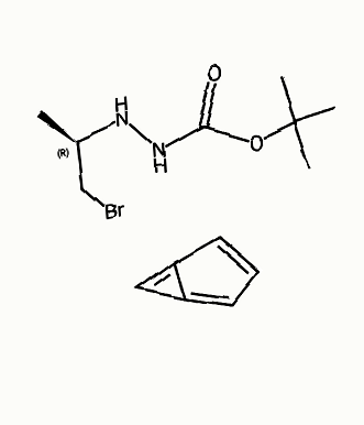 C[C@H](CBr)NNC(=O)OC(C)(C)C.c1cc2cc-2c1